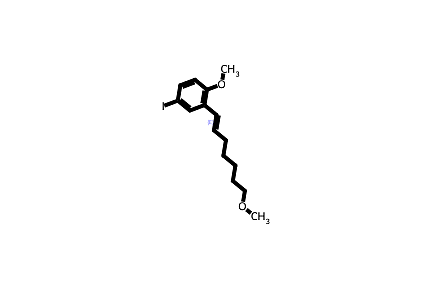 COCCCCC/C=C/c1cc(I)ccc1OC